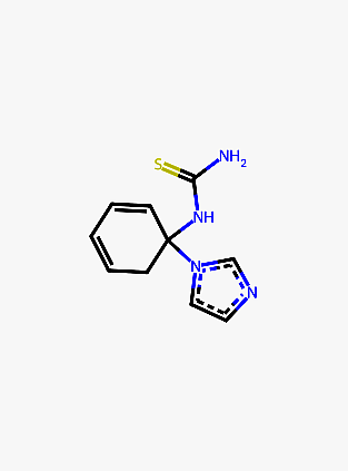 NC(=S)NC1(n2ccnc2)C=CC=CC1